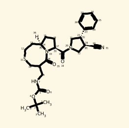 CC(C)(C)OC(=O)NCC1CSCC[C@H]2CC[C@@H](C(=O)N3C[C@H](c4ccccc4)[C@@H](C#N)C3)N2C1=O